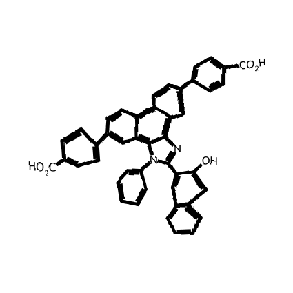 O=C(O)c1ccc(-c2ccc3c4ccc(-c5ccc(C(=O)O)cc5)cc4c4c(nc(-c5cc6ccccc6cc5O)n4-c4ccccc4)c3c2)cc1